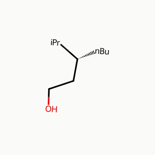 CCCC[C@H](CCO)C(C)C